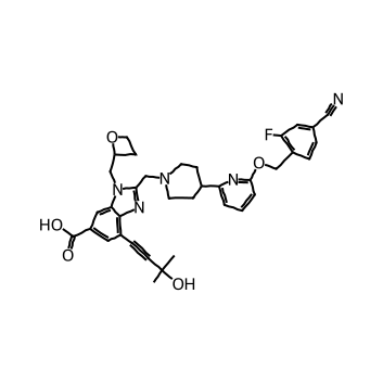 CC(C)(O)C#Cc1cc(C(=O)O)cc2c1nc(CN1CCC(c3cccc(OCc4ccc(C#N)cc4F)n3)CC1)n2CC1CCO1